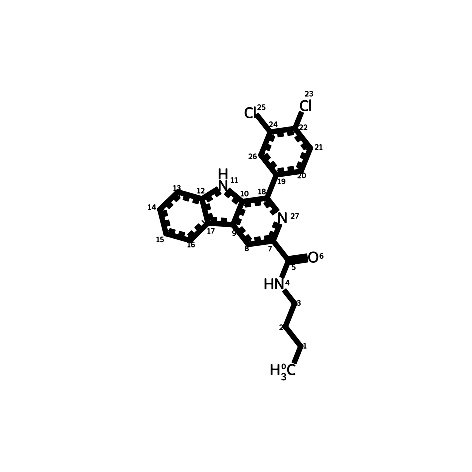 CCCCNC(=O)c1cc2c([nH]c3ccccc32)c(-c2ccc(Cl)c(Cl)c2)n1